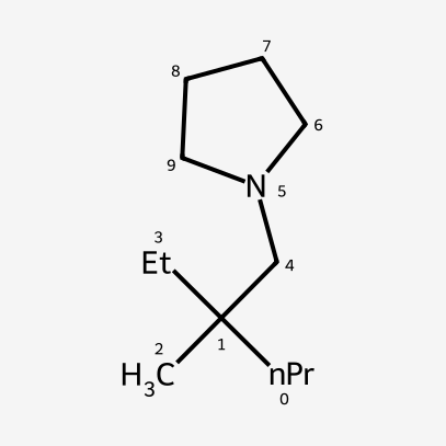 CCCC(C)(CC)CN1CCCC1